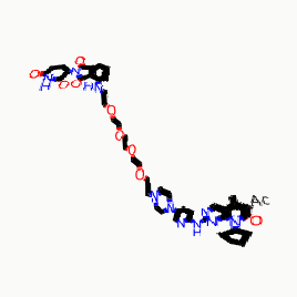 CC(=O)c1c(C)c2cnc(Nc3ccc(N4CCN(CCOCCOCCOCCOCCNc5cccc6c5C(=O)N(C5CCC(=O)NC5=O)C6=O)CC4)cn3)nc2n(C2CCCC2)c1=O